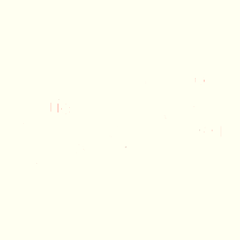 C1CC1.O=C(O)c1ccc(C(=O)O)cc1